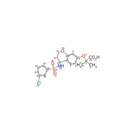 CC(C)(Oc1ccc2c(c1)OCCC2NS(=O)(=O)c1cccc(Cl)c1)C(=O)O